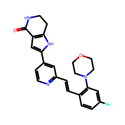 O=C1NCCc2[nH]c(-c3ccnc(C=Cc4ccc(F)cc4N4CCOCC4)c3)cc21